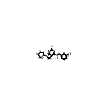 Fc1nc(NCc2cccc(Cl)c2)c2ncn(C3CCCCO3)c2n1